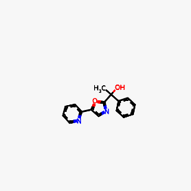 CC(O)(c1ccccc1)c1ncc(-c2ccccn2)o1